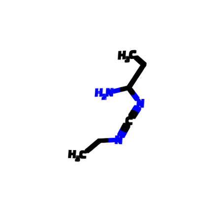 CCN=C=NC(N)CC